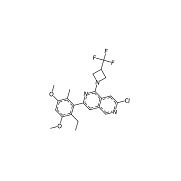 CCc1c(OC)cc(OC)c(C)c1-c1cc2cnc(Cl)cc2c(N2CC(C(F)(F)F)C2)n1